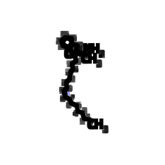 CCCCCCCC/C=C\CCCCCCCC(=O)N(Cc1ccccc1)C(C)N